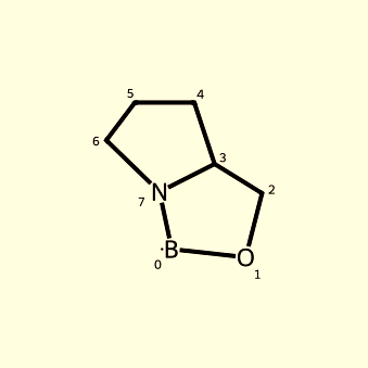 [B]1OCC2CCCN12